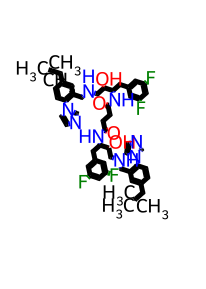 CC(C)(C)Cc1ccc(-n2ccnc2)c(CNCC(O)C(Cc2cc(F)cc(F)c2)NC(=O)CCC(=O)NC(Cc2cc(F)cc(F)c2)C(O)CNCc2cc(CC(C)(C)C)ccc2-n2ccnc2)c1